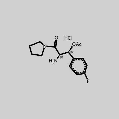 CC(=O)O[C@@H](c1ccc(F)cc1)[C@@H](N)C(=O)N1CCCC1.Cl